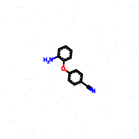 N#Cc1ccc(Oc2ccccc2N)cc1